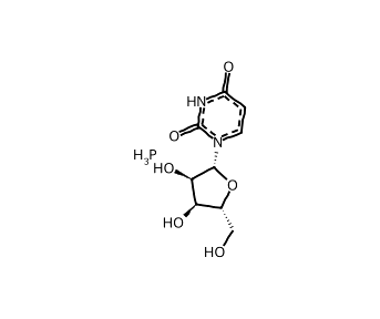 O=c1ccn([C@@H]2O[C@H](CO)[C@@H](O)[C@H]2O)c(=O)[nH]1.P